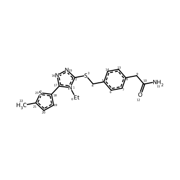 CCn1c(SCc2ccc(CC(N)=O)cc2)nnc1-c1ccc(C)s1